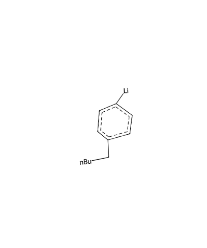 [Li][c]1ccc(CCCCC)cc1